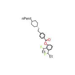 CCCCC[C@H]1CC[C@H](CCc2ccc(C(=O)Oc3cccc(C(F)CC)c3C(F)CC)cc2)CC1